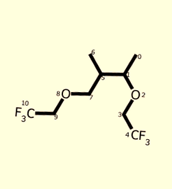 [CH2]C(OCC(F)(F)F)C(C)COCC(F)(F)F